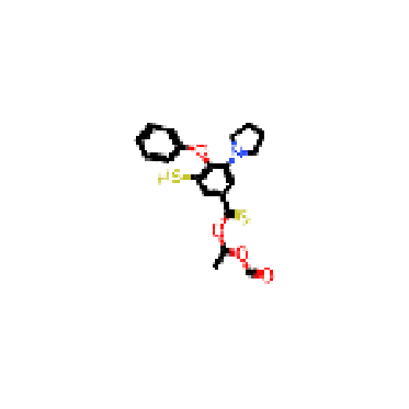 CC(OC=O)OC(=S)c1cc(S)c(Oc2ccccc2)c(N2CCCC2)c1